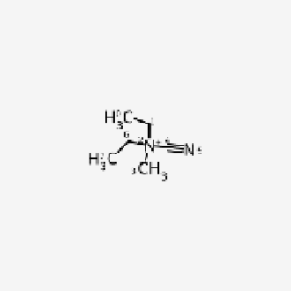 CC[N+](C)(C#N)CC